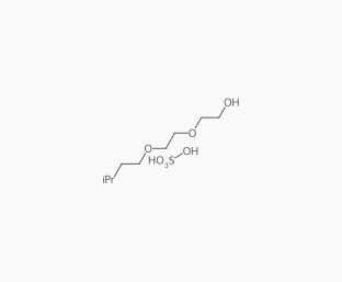 CC(C)CCOCCOCCO.O=S(=O)(O)O